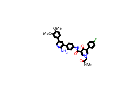 CNC(=O)Cn1cc(C(=O)Nc2ccc(-c3cc(-c4ccc(OC)c(OC)c4)cnc3N)cc2)c(=O)c(-c2ccc(F)cc2)c1